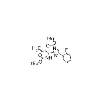 C=CC[C@H](NC(=O)OC(C)(C)C)c1nc(-c2ccccc2F)cn1C(=O)OC(C)(C)C